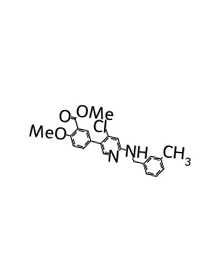 COC(=O)c1cc(-c2cnc(NCc3cccc(C)c3)cc2Cl)ccc1OC